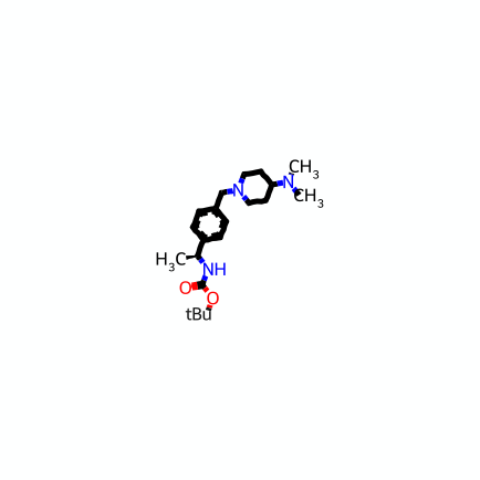 C[C@H](NC(=O)OC(C)(C)C)c1ccc(CN2CCC(N(C)C)CC2)cc1